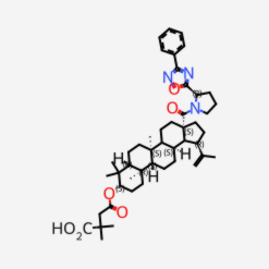 C=C(C)[C@@H]1CC[C@]2(C(=O)N3CCC[C@@H]3c3nc(-c4ccccc4)no3)CCC3[C@H](CC[C@@H]4[C@@]5(C)CC[C@H](OC(=O)CC(C)(C)C(=O)O)C(C)(C)[C@@H]5CC[C@@]34C)C12